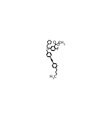 CCCCc1ccc(C#Cc2ccc(CN(CC3CCCC3)c3ccc(F)c(C(=O)OC)c3)cc2)cc1